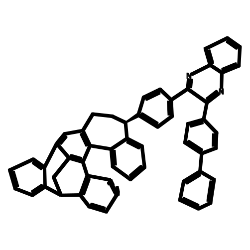 c1ccc(-c2ccc(-c3nc4ccccc4nc3-c3ccc([C@@H]4CCc5cc6c7c(c5-c5ccccc54)-c4c(ccc5ccccc45)C(C7)c4ccccc4-6)cc3)cc2)cc1